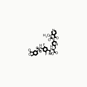 Cn1c(=O)n(-c2ccc(C[C@H](NC(=O)c3cc(F)c(NS(=O)(=O)c4ccc5c(c4)C(=O)OC5)cc3F)C(=O)O)nc2)c(=O)c2ccncc21